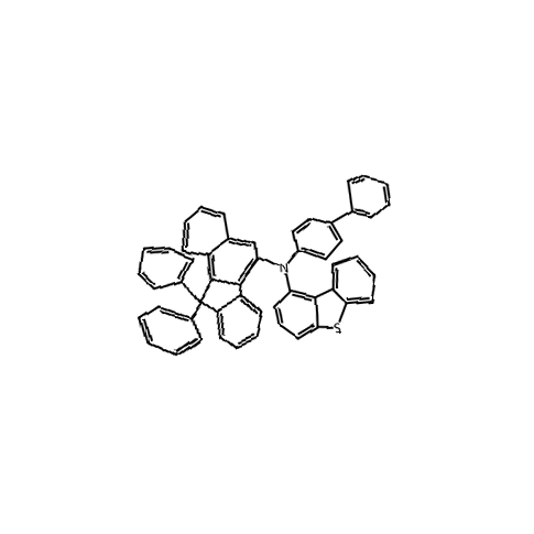 c1ccc(-c2ccc(N(c3cc4ccccc4c4c3-c3ccccc3C4(c3ccccc3)c3ccccc3)c3cccc4sc5ccccc5c34)cc2)cc1